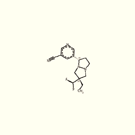 CC[C@]1(C(F)F)CN2CC[C@@H](c3cncc(C#N)c3)N2C1